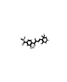 CC1=C(/C=C/C(C)=C(\F)c2ccc(C(=O)N(C)C)cc2O)C(C)(C)CCC1